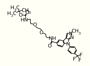 Cn1cc2c3cc(C(=O)NCCOCCOCCNC(=O)OC(C)(C)C)ccc3n(-c3ccc(C(F)(F)F)cc3)c2n1